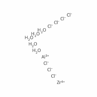 O.O.O.O.O.[Al+3].[Cl-].[Cl-].[Cl-].[Cl-].[Cl-].[Cl-].[Cl-].[Zr+4]